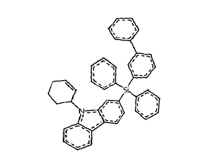 C1=CC(n2c3ccccc3c3ccc([Si](c4ccccc4)(c4ccccc4)c4cccc(-c5ccccc5)c4)cc32)CCC1